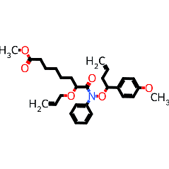 C=CCOC(CCCCCC(=O)OC)C(=O)N(OC(CC=C)c1ccc(OC)cc1)c1ccccc1